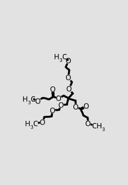 COCCOCOCC(COCOCCOC)(COC(=O)CCOC)COC(=O)CCOC